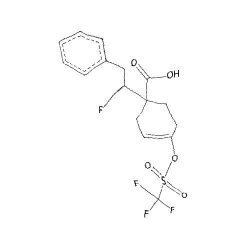 O=C(O)C1(C(F)Cc2ccccc2)CC=C(OS(=O)(=O)C(F)(F)F)CC1